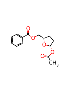 CC(=O)O[C@H]1CC[C@H](COC(=O)c2ccccc2)O1